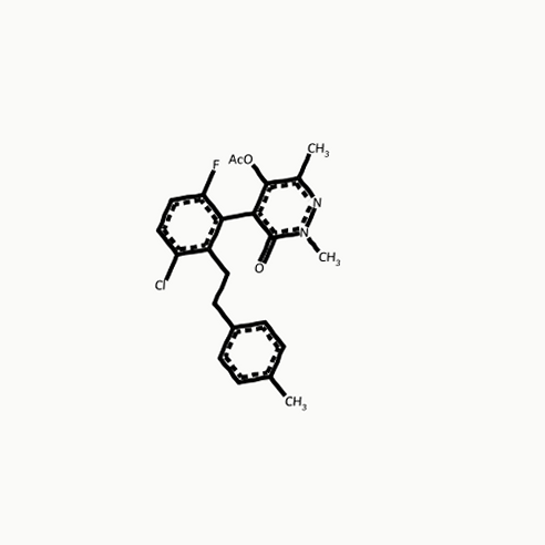 CC(=O)Oc1c(C)nn(C)c(=O)c1-c1c(F)ccc(Cl)c1CCc1ccc(C)cc1